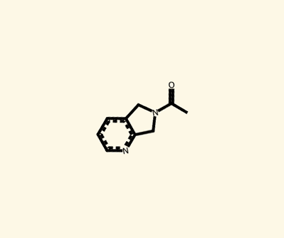 CC(=O)N1Cc2cccnc2C1